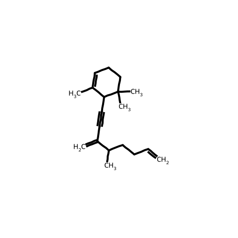 C=CCCC(C)C(=C)C#CC1C(C)=CCCC1(C)C